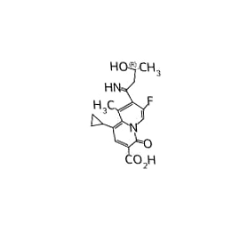 Cc1c(C(=N)C[C@@H](C)O)c(F)cn2c(=O)c(C(=O)O)cc(C3CC3)c12